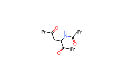 CC(C)C(=O)CC(NC(=O)C(C)C)C(=O)C(C)C